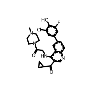 CN1CCN(C(=O)CNc2c(C(=O)C3CC3)cnc3ccc(-c4cc(F)c(O)c(Cl)c4)cc23)CC1